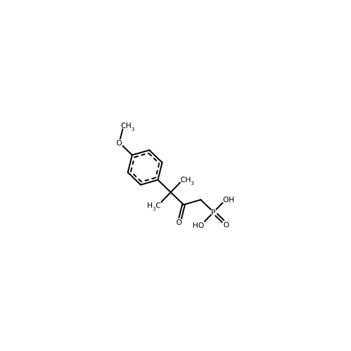 COc1ccc(C(C)(C)C(=O)CP(=O)(O)O)cc1